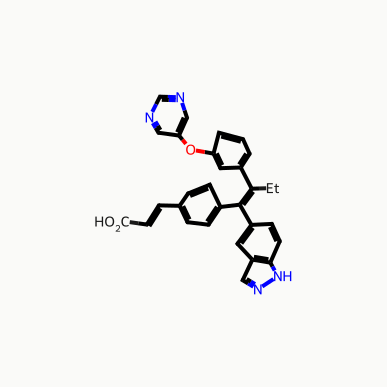 CC/C(=C(/c1ccc(/C=C/C(=O)O)cc1)c1ccc2[nH]ncc2c1)c1cccc(Oc2cncnc2)c1